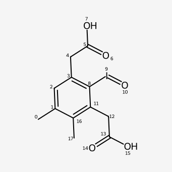 Cc1cc(CC(=O)O)c(I=O)c(CC(=O)O)c1C